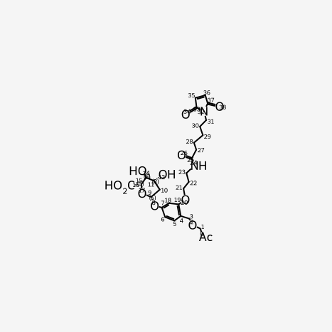 CC(=O)COCc1ccc(O[C@H]2C[C@@H](O)[C@H](O)[C@@H](C(=O)O)O2)cc1OCCCNC(=O)CCCCCN1C(=O)C=CC1=O